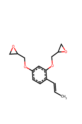 CC=Cc1ccc(OCC2CO2)cc1OCC1CO1